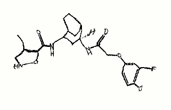 CC1CNOC1C(=O)NC1C[C@H](NC(=O)COc2ccc(Cl)c(F)c2)C2CC1C2